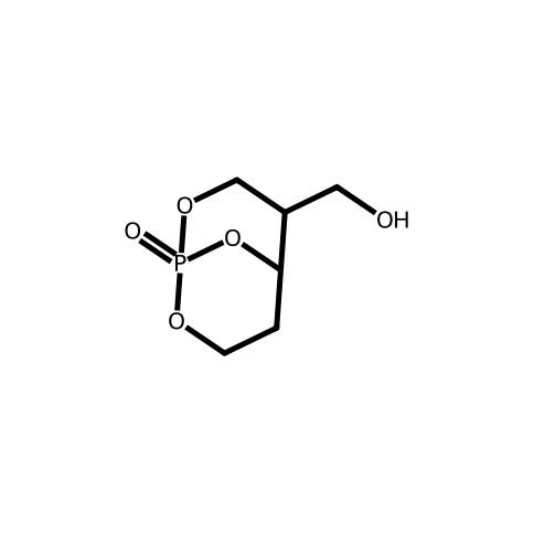 O=P12OCCC(O1)C(CO)CO2